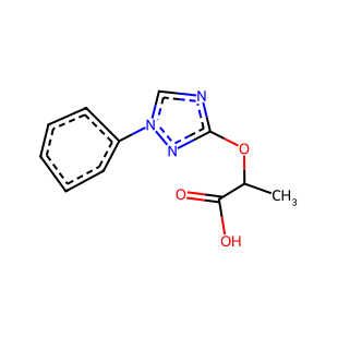 CC(Oc1ncn(-c2ccccc2)n1)C(=O)O